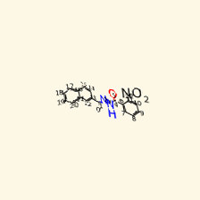 C/C(=N\NC(=O)c1ccccc1[N+](=O)[O-])c1ccc2ccccc2c1